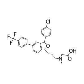 CN(CCCC1OC(c2ccc(Cl)cc2)c2cc(-c3ccc(C(F)(F)F)cc3)ccc21)CC(=O)O